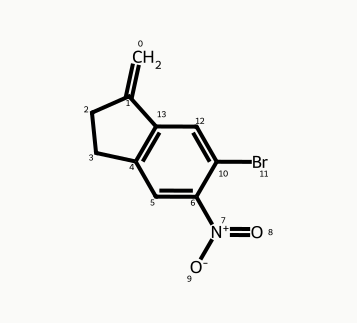 C=C1CCc2cc([N+](=O)[O-])c(Br)cc21